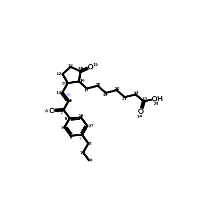 CCCc1ccc(C(=O)/C=C/C2CCC(=O)C2CCCCCCC(=O)O)cc1